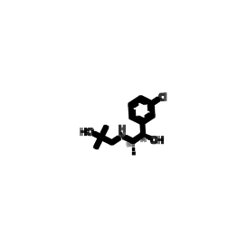 C[C@H](NCC(C)(C)O)[C@H](O)c1cccc(Cl)c1